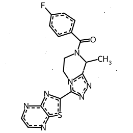 CC1c2nnc(-c3nc4nccnc4s3)n2CCN1C(=O)c1ccc(F)cc1